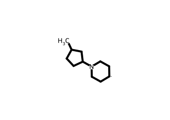 CC1CCC(N2CC[CH]CC2)C1